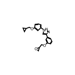 c1cc(OCC2CO2)cc(-c2cn(-c3cccc(OCC4CC4)c3)nn2)c1